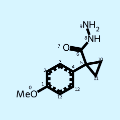 COc1ccc(C2(C(=O)NN)CC2)cc1